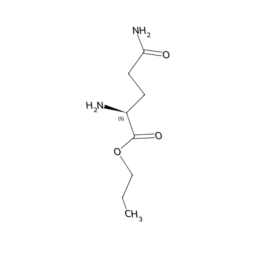 CCCOC(=O)[C@@H](N)CCC(N)=O